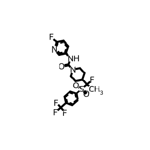 CC(F)(C1CCN(C(=O)Nc2ccc(F)nc2)CC1)S(=O)(=O)c1ccc(C(F)(F)F)cc1